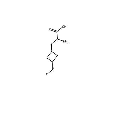 NC(C[C@H]1C[C@@H](CF)C1)C(=O)O